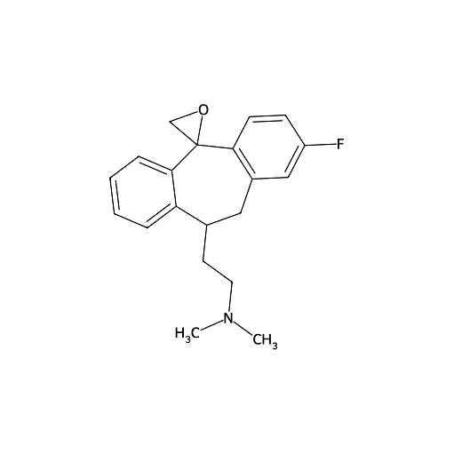 CN(C)CCC1Cc2cc(F)ccc2C2(CO2)c2ccccc21